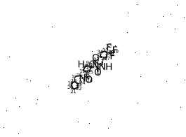 CC12CC(NC(=O)N1c1cccc(C(=O)N3CCc4ccccc4C3)c1)c1cc(C(F)(F)F)ccc1O2